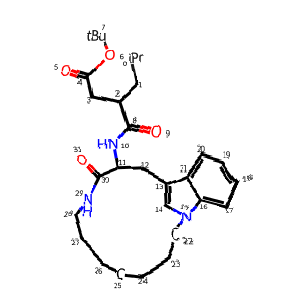 CC(C)CC(CC(=O)OC(C)(C)C)C(=O)NC1Cc2cn(c3ccccc23)CCCCCCCNC1=O